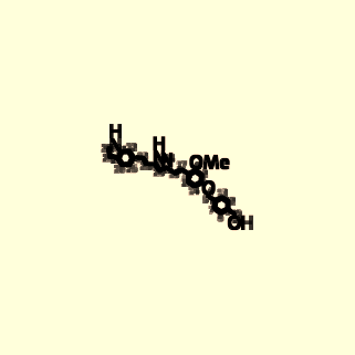 COc1cc(OCc2ccc(CO)cc2)ccc1/C=C/c1cc(/C=C/c2ccc3cc[nH]c3c2)[nH]n1